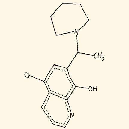 CC(c1cc(Cl)c2cccnc2c1O)N1CCCCC1